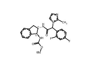 Cc1nccn1C(C(=O)N[C@H]1Cc2ccccc2[C@@H]1NC(=O)OC(C)(C)C)c1ccc(F)cc1F